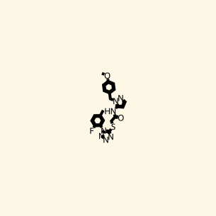 COc1ccc(Cn2nccc2NC(=O)CSc2nnnn2-c2cc(C)ccc2F)cc1